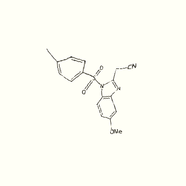 COc1ccc2c(c1)nc(CC#N)n2S(=O)(=O)c1ccc(C)cc1